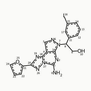 Nc1nc2c(cnn2C(CO)c2cccc(I)c2)c2nc(-c3ccco3)nn12